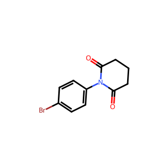 O=C1CCCC(=O)N1c1ccc(Br)cc1